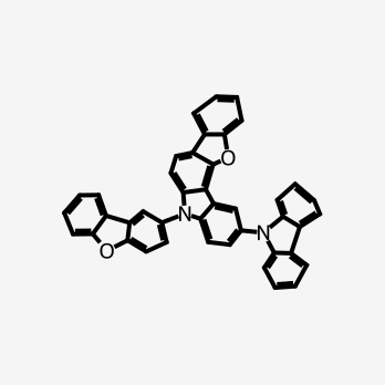 c1ccc2c(c1)oc1ccc(-n3c4ccc(-n5c6ccccc6c6ccccc65)cc4c4c5oc6ccccc6c5ccc43)cc12